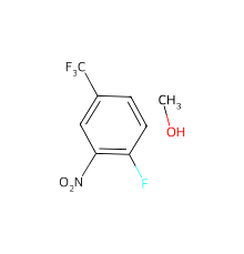 CO.O=[N+]([O-])c1cc(C(F)(F)F)ccc1F